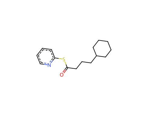 O=C(CCCC1CCCCC1)Sc1ccccn1